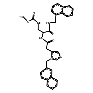 CC(C)(C)OC(=O)NCC(NC(=O)Cc1cncn1Cc1ccc2ccccc2c1)C(=O)NCc1cccc2ccccc12